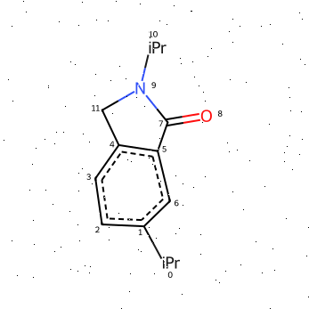 CC(C)c1ccc2c(c1)C(=O)N(C(C)C)C2